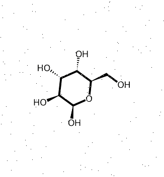 OC[C@H]1O[C@@H](O)[C@@H](O)[C@H](O)[C@@H]1O